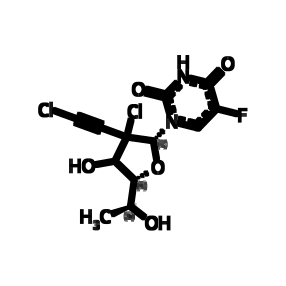 C[C@H](O)[C@H]1O[C@@H](n2cc(F)c(=O)[nH]c2=O)C(Cl)(C#CCl)C1O